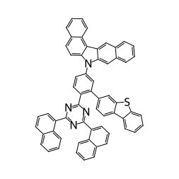 c1ccc2cc3c(cc2c1)c1c2ccccc2ccc1n3-c1ccc(-c2nc(-c3cccc4ccccc34)nc(-c3cccc4ccccc34)n2)c(-c2ccc3c(c2)sc2ccccc23)c1